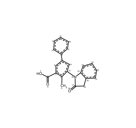 Cc1c(C(=O)O)cc(-c2ccccc2)cc1N1C(=O)Cc2ccccc21